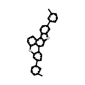 Cc1cccc(-c2ccc3c(c2)Oc2cccc4c2c-3cc2oc3cc(-c5cccc(C)c5)ccc3c24)c1